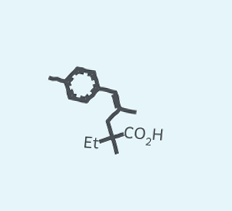 CCC(C)(CC(C)=Cc1ccc(C)cc1)C(=O)O